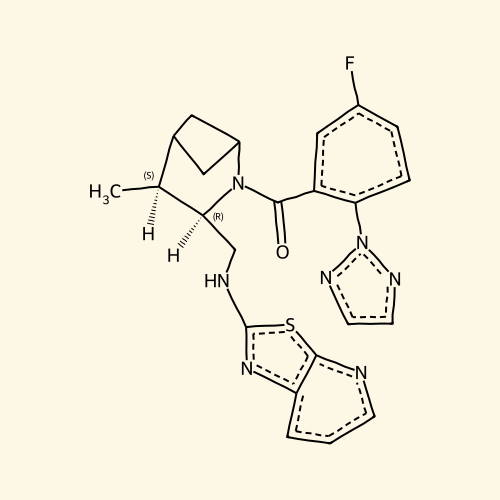 C[C@H]1C2CC(C2)N(C(=O)c2cc(F)ccc2-n2nccn2)[C@H]1CNc1nc2cccnc2s1